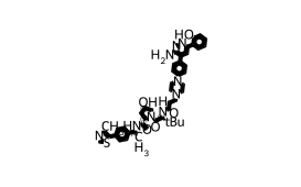 Cc1ncsc1-c1ccc([C@H](C)NC(=O)[C@@H]2C[C@@H](O)CN2C(=O)[C@@H](NC(=O)CCN2CCN(c3ccc(-c4cc(-c5ccccc5O)nnc4N)cc3)CC2)C(C)(C)C)cc1